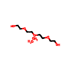 O.O.OCCOCCOCCOCCO